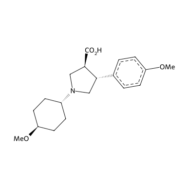 COc1ccc([C@@H]2CN([C@H]3CC[C@H](OC)CC3)C[C@H]2C(=O)O)cc1